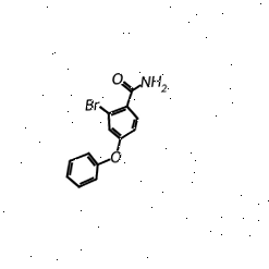 NC(=O)c1ccc(Oc2ccccc2)cc1Br